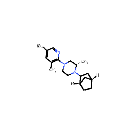 Cc1cc(C(C)(C)C)cnc1N1CCN([C@H]2C[C@@H]3CC[C@H]2C3)[C@@H](C)C1